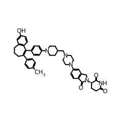 Cc1ccc(C2=C(c3ccc(N4CCC(CN5CCN(c6ccc7c(c6)CN([C@@H]6CCC(=O)NC6=O)C7=O)CC5)CC4)cc3)c3ccc(O)cc3CCC2)cc1